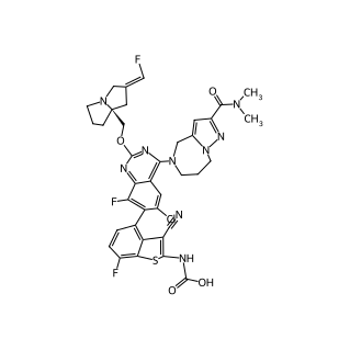 CN(C)C(=O)c1cc2n(n1)CCCN(c1nc(OC[C@@]34CCCN3C/C(=C\F)C4)nc3c(F)c(-c4ccc(F)c5sc(NC(=O)O)c(C#N)c45)c(Cl)cc13)C2